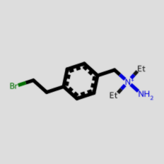 CC[N+](N)(CC)Cc1ccc(CCBr)cc1